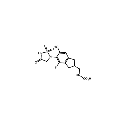 O=C(O)NC[C@@H]1Cc2cc(O)c(N3CC(=O)NS3(=O)=O)c(F)c2C1